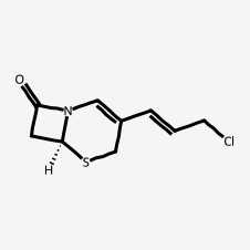 O=C1C[C@@H]2SCC(C=CCCl)=CN12